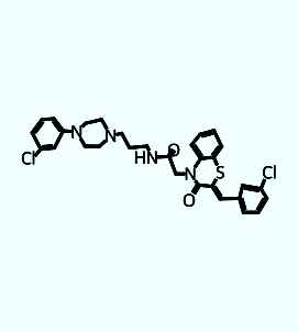 O=C(CN1C(=O)C(=Cc2cccc(Cl)c2)Sc2ccccc21)NCCCN1CCN(c2cccc(Cl)c2)CC1